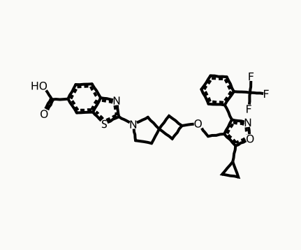 O=C(O)c1ccc2nc(N3CCC4(CC(OCc5c(-c6ccccc6C(F)(F)F)noc5C5CC5)C4)C3)sc2c1